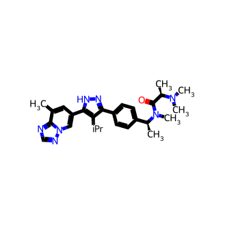 Cc1cc(-c2[nH]nc(-c3ccc([C@H](C)N(C)C(=O)[C@@H](C)N(C)C)cc3)c2C(C)C)cn2ncnc12